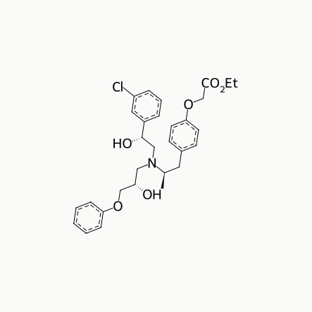 CCOC(=O)COc1ccc(C[C@@H](C)N(C[C@H](O)COc2ccccc2)C[C@H](O)c2cccc(Cl)c2)cc1